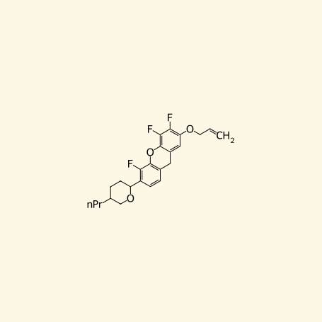 C=CCOc1cc2c(c(F)c1F)Oc1c(ccc(C3CCC(CCC)CO3)c1F)C2